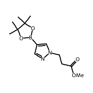 COC(=O)CCn1cc(B2OC(C)(C)C(C)(C)O2)cn1